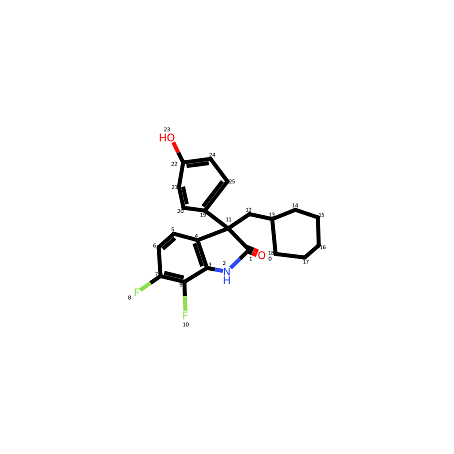 O=C1Nc2c(ccc(F)c2F)C1(CC1CCCCC1)c1ccc(O)cc1